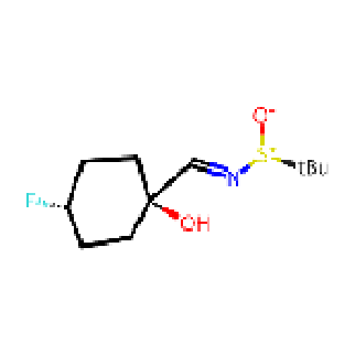 CC(C)(C)[S@+]([O-])/N=C/[C@]1(O)CC[C@H](F)CC1